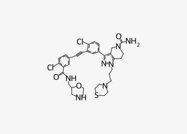 NC(=O)N1CCc2c(c(-c3ccc(Cl)c(C#Cc4ccc(Cl)c(C(=O)NCC5CNCCO5)c4)c3)nn2CCCN2CCSCC2)C1